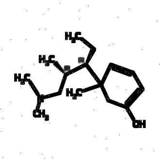 CC[C@H]([C@@H](C)CN(C)C)C1(C)C=CC=C(O)C1